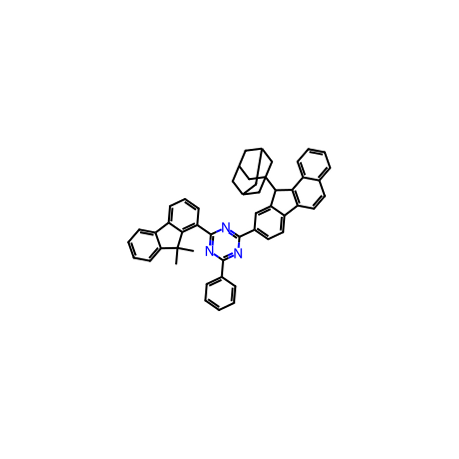 CC1(C)c2ccccc2-c2cccc(-c3nc(-c4ccccc4)nc(-c4ccc5c(c4)C(C46CC7CC(CC(C7)C4)C6)c4c-5ccc5ccccc45)n3)c21